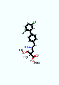 CCCCOC(=O)[C@](C)(COCC)C[C@H](N)Cc1ccc(-c2cc(Cl)ccc2F)cc1